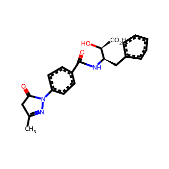 CC1=NN(c2ccc(C(=O)N[C@H](Cc3ccccc3)[C@@H](O)C(=O)O)cc2)C(=O)C1